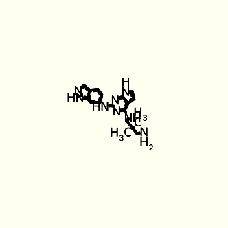 CC(C)(CN)CNc1nc(Nc2ccc3cn[nH]c3c2)nc2[nH]ccc12